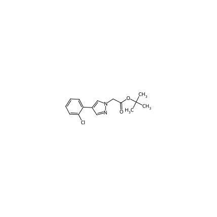 CC(C)(C)OC(=O)Cn1cc(-c2ccccc2Cl)cn1